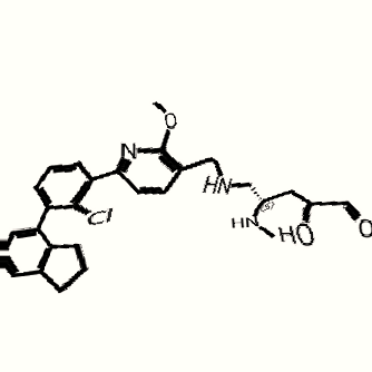 CN[C@H](CNCc1ccc(-c2cccc(-c3cccc4c3CCC4)c2Cl)nc1OC)CC(O)C=O